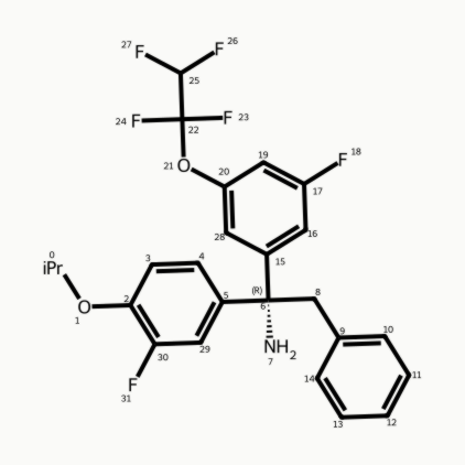 CC(C)Oc1ccc([C@](N)(Cc2ccccc2)c2cc(F)cc(OC(F)(F)C(F)F)c2)cc1F